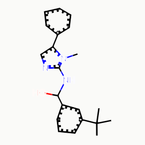 Cn1c(-c2ccccc2)cnc1NC(O)c1cccc(C(C)(C)C)c1